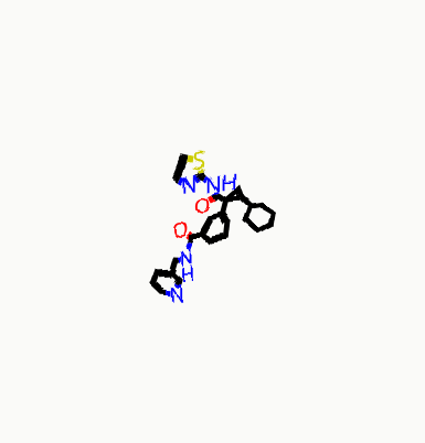 O=C(NCc1cccnc1)c1cccc(C2(C(=O)Nc3nccs3)CC2C2CCCCC2)c1